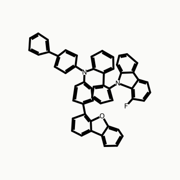 Fc1cccc2c3ccccc3n(-c3ccccc3-c3ccccc3N(c3ccc(-c4ccccc4)cc3)c3ccc(-c4cccc5c4oc4ccccc45)cc3)c12